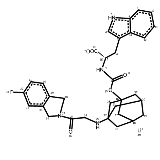 O=C(N[C@@H](Cc1c[nH]c2ccccc12)C(=O)[O-])OC12CC3CC(CC(NCC(=O)N4Cc5ccc(F)cc5C4)(C3)C1)C2.[Li+]